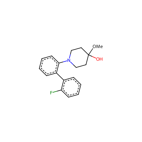 COC1(O)CCN(c2ccccc2-c2ccccc2F)CC1